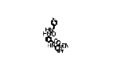 CC(C)CC(NC(=O)c1cccc(NC(=O)NCc2ccncc2)c1)C(=O)N(C)C#N